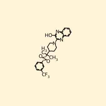 CC(C)(C1CCN(c2nc3ccccc3nc2O)CC1)S(=O)(=O)c1cccc(C(F)(F)F)c1